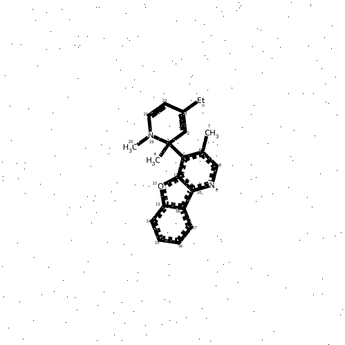 CCC1=CC(C)(c2c(C)cnc3c2oc2ccccc23)N(C)C=C1